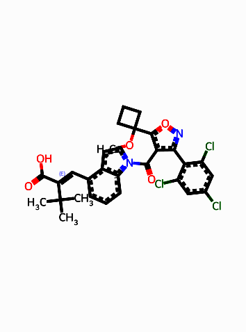 COC1(c2onc(-c3c(Cl)cc(Cl)cc3Cl)c2C(=O)n2ccc3c(/C=C(/C(=O)O)C(C)(C)C)cccc32)CCC1